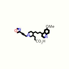 COc1ccc2nccc(CCCC3CCN(CC#Cc4cocn4)CC3CCC(=O)O)c2c1